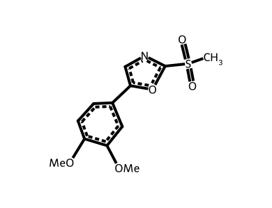 COc1ccc(-c2cnc(S(C)(=O)=O)o2)cc1OC